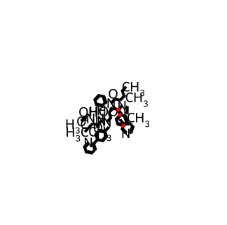 CCC(C)C(C(=O)N(c1ccccc1)C(Cc1ccccc1)C(O)CN(Cc1ccc(-c2ccccn2)cc1)NC(=O)C(NC(=O)O)C(C)(C)C)N1CCN(Cc2cnccc2C)C1=O